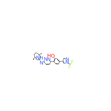 CN(c1ccc(-c2ccc(-c3cnn(C(F)F)c3)cc2O)nn1)[C@H]1C[C@]2(C)CC[C@](C)(C1)N2